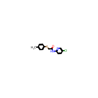 Cc1ccc(SCC(=O)Nc2ccc(Cl)cn2)cc1